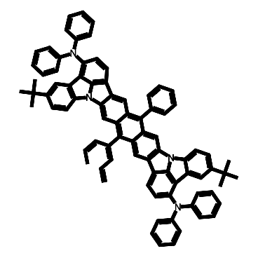 C=C/C=C(\C=C/C)c1c2cc3c(cc2c(-c2ccccc2)c2cc4c(cc12)c1ccc(N(c2ccccc2)c2ccccc2)c2c5cc(C(C)(C)C)ccc5n4c12)c1ccc(N(c2ccccc2)c2ccccc2)c2c4cc(C(C)(C)C)ccc4n3c12